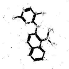 CP(C)c1c(Nc2nc(Cl)ncc2O)ccc2ccccc12